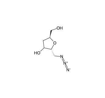 [N-]=[N+]=NC[C@H]1O[C@H](CO)CC1O